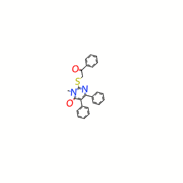 Cn1c(SCC(=O)c2ccccc2)nc(-c2ccccc2)c(-c2ccccc2)c1=O